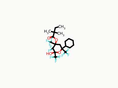 CCC(C)(C)C(=O)OC1(C(F)(F)F)CC(C2CCCCC2)(C(F)(F)F)OC(O)(C(F)(F)F)C1(F)F